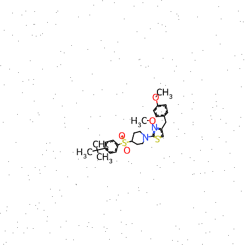 COc1ccc(Cc2csc(N3CCC(S(=O)(=O)c4ccc(C(C)(C)C)cc4)CC3)n2)c(OC)c1